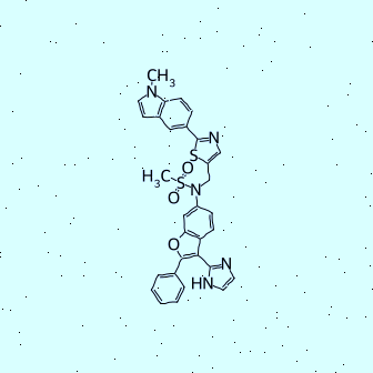 Cn1ccc2cc(-c3ncc(CN(c4ccc5c(-c6ncc[nH]6)c(-c6ccccc6)oc5c4)S(C)(=O)=O)s3)ccc21